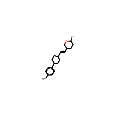 CCCc1ccc(C2CCC(/C=C/C3CCC(CC)OC3)CC2)cc1